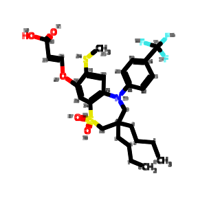 CCCCC1(CCCC)CN(c2ccc(C(F)(F)F)cc2)c2cc(SC)c(O/C=C/C(=O)O)cc2S(=O)(=O)C1